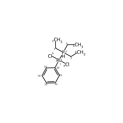 CC[PH](CC)(CC)[Ru]([Cl])([Cl])[c]1ccccc1